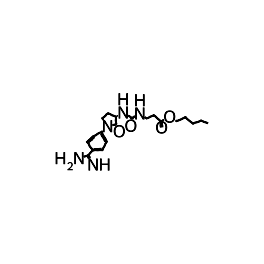 CCCCCOC(=O)CCNC(=O)N[C@H]1CCN(c2ccc(C(=N)N)cc2)C1=O